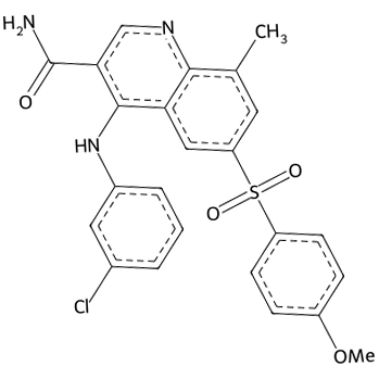 COc1ccc(S(=O)(=O)c2cc(C)c3ncc(C(N)=O)c(Nc4cccc(Cl)c4)c3c2)cc1